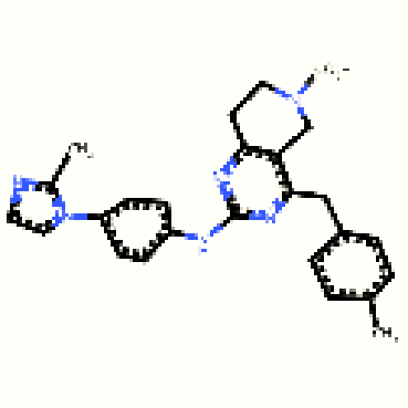 Cc1ccc(Cc2nc(Nc3ccc(-n4ccnc4C)cc3)nc3c2CN(C(=O)O)CC3)cc1